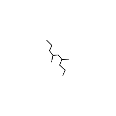 CCCC(C)CC(C)CCC